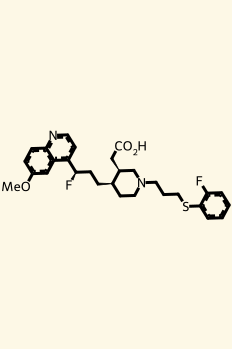 COc1ccc2nccc([C@H](F)CC[C@@H]3CCN(CCCSc4ccccc4F)C[C@@H]3CC(=O)O)c2c1